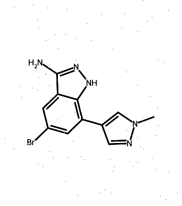 Cn1cc(-c2cc(Br)cc3c(N)n[nH]c23)cn1